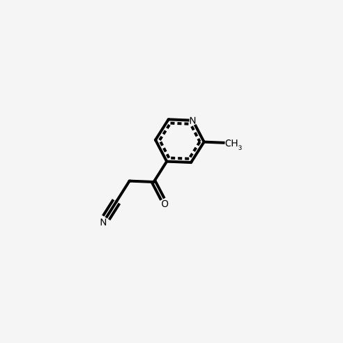 Cc1cc(C(=O)CC#N)ccn1